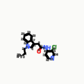 CC(C)CCn1cc(CC(=O)Nc2ccncc2Cl)c2ccccc21